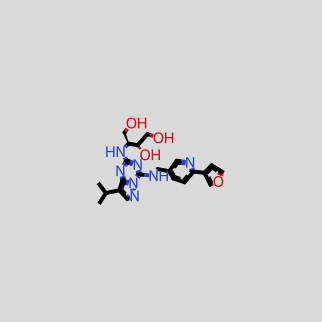 CC(C)c1cnn2c(NCc3ccc(-c4ccoc4)nc3)nc(N[C@@H](CO)[C@H](O)CO)nc12